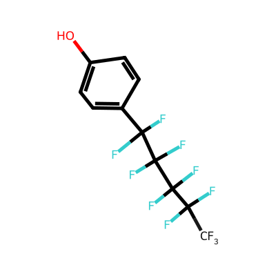 Oc1ccc(C(F)(F)C(F)(F)C(F)(F)C(F)(F)C(F)(F)F)cc1